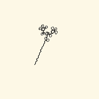 CCCCCCCCCCCCCCCCCC(=O)OCC1CN(C(=O)c2cc(OC)c(OC)c(OC)c2)CCN1C(=O)c1cc(OC)c(OC)c(OC)c1